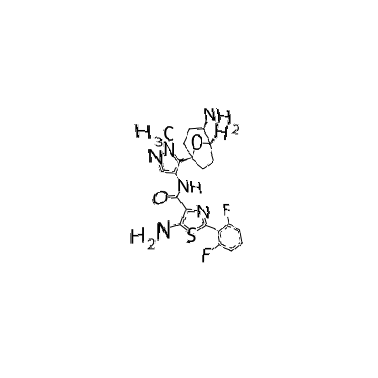 Cn1ncc(NC(=O)c2nc(-c3c(F)cccc3F)sc2N)c1[C@]12CC[C@@H](N)[C@H](CC1)O2